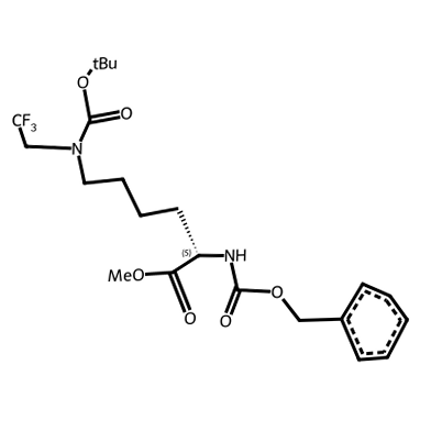 COC(=O)[C@H](CCCCN(CC(F)(F)F)C(=O)OC(C)(C)C)NC(=O)OCc1ccccc1